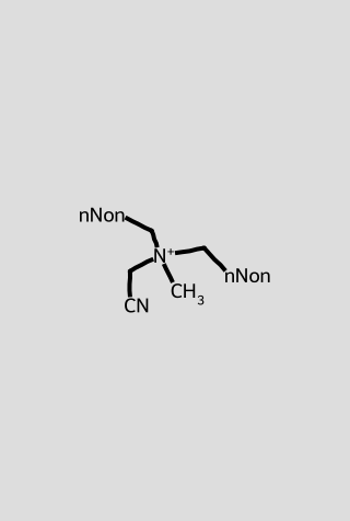 CCCCCCCCCC[N+](C)(CC#N)CCCCCCCCCC